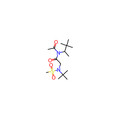 CC(=O)N(C(=O)CN(C(C)(C)C)S(C)(=O)=O)C(C)C(C)(C)C